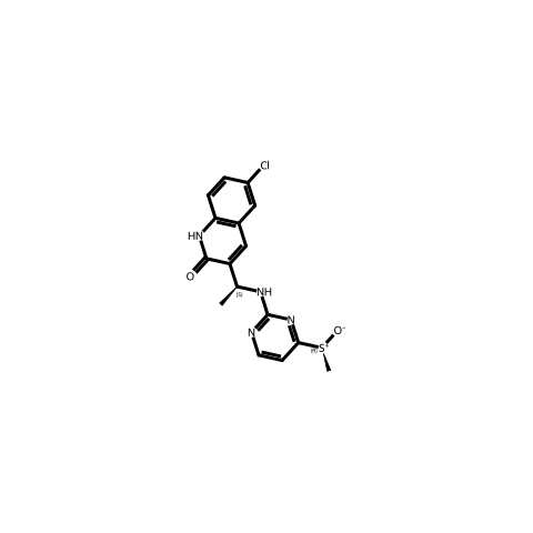 C[C@H](Nc1nccc([S@+](C)[O-])n1)c1cc2cc(Cl)ccc2[nH]c1=O